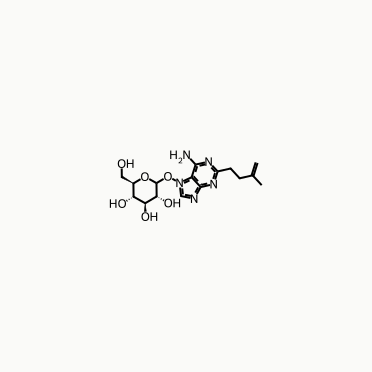 C=C(C)CCc1nc(N)c2c(ncn2OC2O[C@H](CO)[C@@H](O)[C@H](O)[C@H]2O)n1